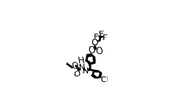 CCOC(=O)NN=C(c1ccc(Cl)cc1)c1ccc(OC(=O)OCC(F)(F)F)cc1